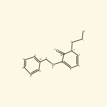 CCCn1cccc(OCc2ccccc2)c1=O